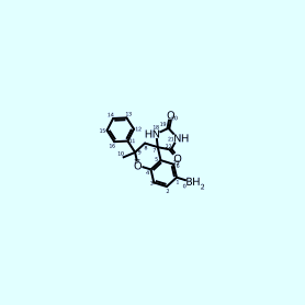 Bc1ccc2c(c1)C1(CC(C)(c3ccccc3)O2)NC(=O)NC1=O